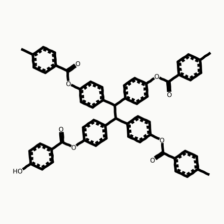 Cc1ccc(C(=O)Oc2ccc(C(c3ccc(OC(=O)c4ccc(C)cc4)cc3)C(c3ccc(OC(=O)c4ccc(C)cc4)cc3)c3ccc(OC(=O)c4ccc(O)cc4)cc3)cc2)cc1